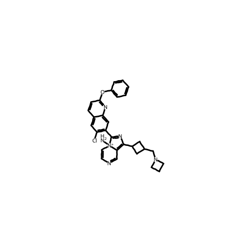 N[N+]12C=CN=CC1=C(C1CC(CN3CCC3)C1)N=C2c1cc2nc(Oc3ccccc3)ccc2cc1Cl